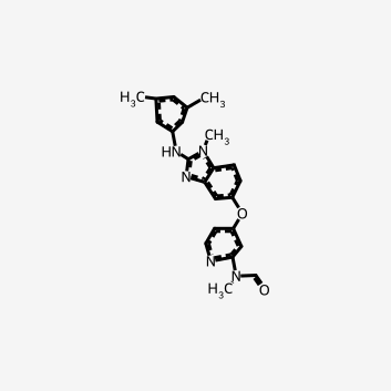 Cc1cc(C)cc(Nc2nc3cc(Oc4ccnc(N(C)C=O)c4)ccc3n2C)c1